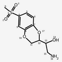 CS(=O)(=O)c1ccc2c(c1)OCC(C(O)CN)O2